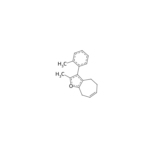 Cc1ccccc1-c1c(C)oc2c1CCC=CC2